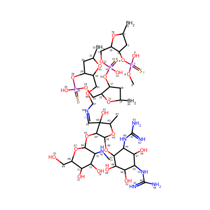 BC1CC(OP(O)(=S)OC)C(COP(O)(=S)OC2CC(B)OC2COP(O)(=S)OC2CC(B)OC2COC/N=C\C2(O)C(C)OC(OC3C(O)C(O)C(NC(=N)N)C(O)C3NC(=N)N)C2OC2OC(CO)C(O)C(O)C2NC)O1